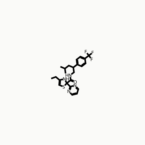 CCC1=CSC(C(=O)NCC(CC(C)C)c2ccc(C(F)(F)F)cc2)(c2ncccn2)N1